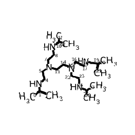 CC(C)NCCN(CCNC(C)C)CCN(CCNC(C)C)CCNC(C)C